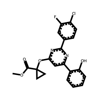 COC(=O)C1(Oc2cc(-c3ccccc3O)nc(-c3ccc(Cl)c(F)c3)n2)CC1